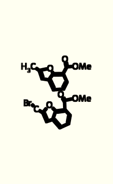 COC(=O)c1cccc2cc(C)oc12.COC(=O)c1cccc2cc(CBr)oc12